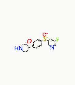 [O-][S+](c1cncc(F)c1)c1ccc2c(c1)OC1CNCCC21